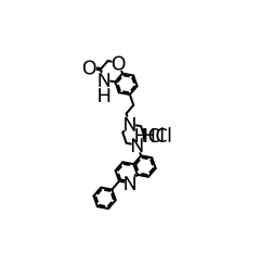 Cl.Cl.O=C1COc2ccc(CCN3CCN(c4cccc5nc(-c6ccccc6)ccc45)CC3)cc2N1